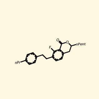 CCCCCC1Cc2ccc(CCc3ccc(CCC)cc3)c(F)c2C(=O)O1